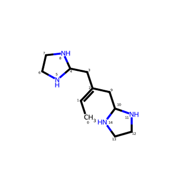 CC=C(CC1NCCN1)CC1NCCN1